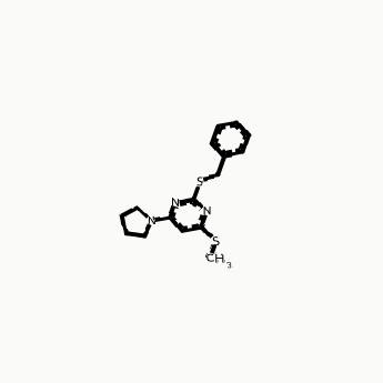 CSc1cc(N2CCCC2)nc(SCc2ccccc2)n1